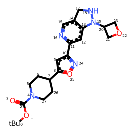 CC(C)(C)OC(=O)N1CCC(c2cc(-c3cc4c(cn3)CNN4C3COC3)no2)CC1